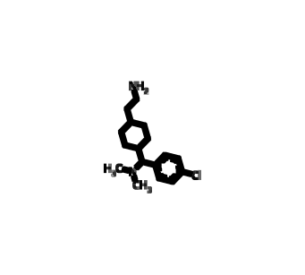 CN(C)C(c1ccc(Cl)cc1)C1CCC(CCN)CC1